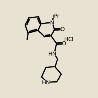 Cc1cccc2c1cc(C(=O)NCC1CCNCC1)c(=O)n2C(C)C.Cl